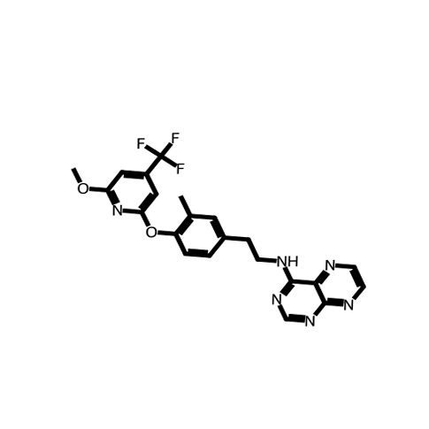 COc1cc(C(F)(F)F)cc(Oc2ccc(CCNc3ncnc4nccnc34)cc2C)n1